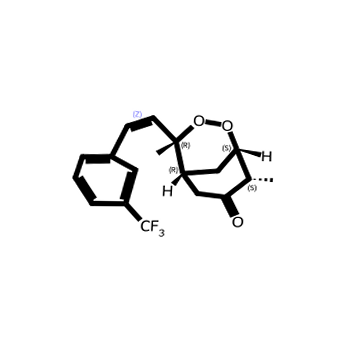 C[C@@H]1C(=O)C[C@H]2C[C@@H]1OO[C@@]2(C)/C=C\c1cccc(C(F)(F)F)c1